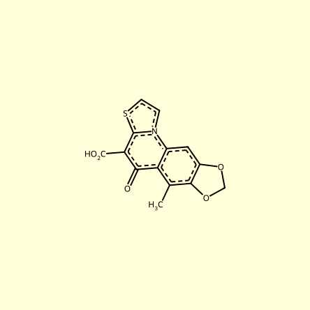 Cc1c2c(cc3c1c(=O)c(C(=O)O)c1sccn13)OCO2